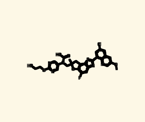 COc1cnc2c(-c3nc4cc(F)c5c(c4s3)CC(C)(CN(C(=O)O)c3cnc(OCCO)nc3)O5)cc(Cl)cc2c1